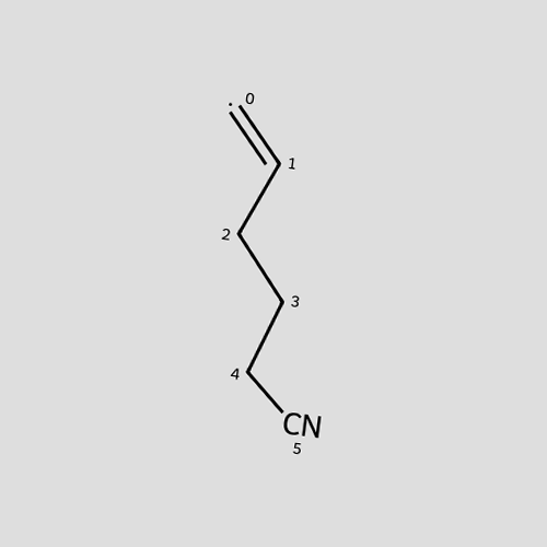 [CH]=CCCCC#N